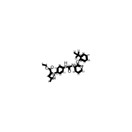 CCOC(=O)c1cc(C)nn1-c1ccc(NC(=O)Nc2cccnc2Oc2ccccc2C(C)(C)C)cc1